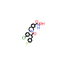 O=C(NO)c1ccc2c(c1)CN(C(=O)C(=Cc1ccc(F)cc1)c1cccc(Cl)c1)CCC2